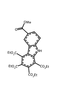 CCOC(=O)c1c(C(=O)OCC)c(C(=O)OCC)c2c([nH]c3ccc(C(=O)OC)cc32)c1C(=O)OCC